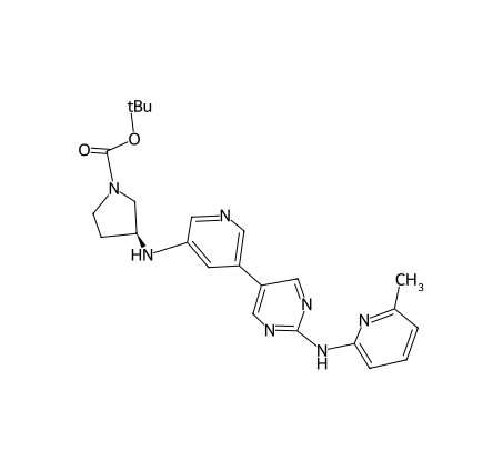 Cc1cccc(Nc2ncc(-c3cncc(N[C@H]4CCN(C(=O)OC(C)(C)C)C4)c3)cn2)n1